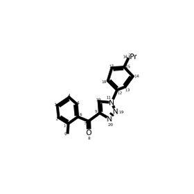 Cc1ccccc1C(=O)c1cn(-c2ccc(C(C)C)cc2)nn1